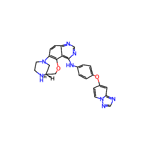 c1nc(Nc2ccc(Oc3ccn4ncnc4c3)cc2)c2c3c(ccc2n1)N1CCN[C@@H](CO3)C1